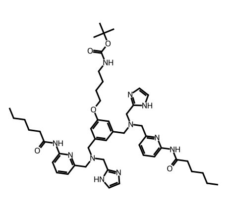 CCCCCC(=O)Nc1cccc(CN(Cc2cc(CN(Cc3cccc(NC(=O)CCCCC)n3)Cc3ncc[nH]3)cc(OCCCCNC(=O)OC(C)(C)C)c2)Cc2ncc[nH]2)n1